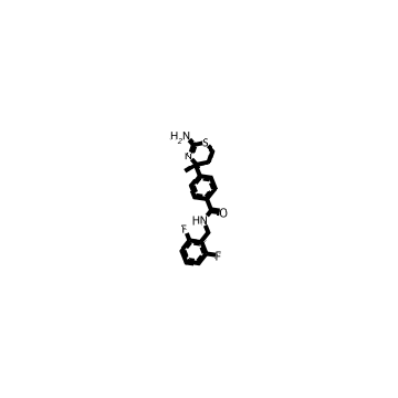 CC1(c2ccc(C(=O)NCc3c(F)cccc3F)cc2)CCSC(N)=N1